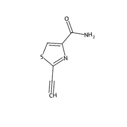 C#Cc1nc(C(N)=O)cs1